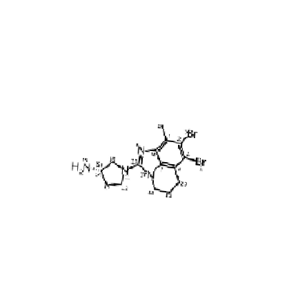 Cc1c(Br)c(Br)c2c3c1nc(N1CC[C@H](N)C1)n3CCC2